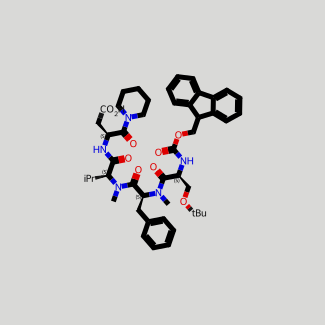 CC(C)[C@@H](C(=O)N[C@@H](CC(=O)O)C(=O)N1CCCCC1)N(C)C(=O)[C@H](Cc1ccccc1)N(C)C(=O)[C@H](COC(C)(C)C)NC(=O)OCC1c2ccccc2-c2ccccc21